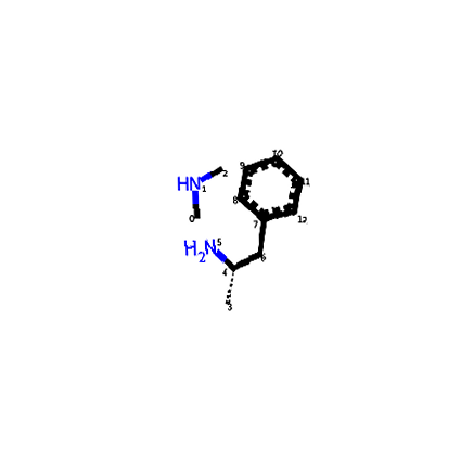 CNC.C[C@H](N)Cc1ccccc1